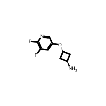 N[C@H]1C[C@H](Oc2cnc(F)c(F)c2)C1